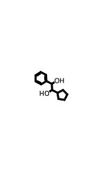 OC(c1ccccc1)C(O)C1CCCC1